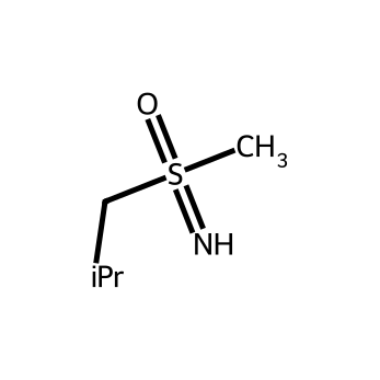 CC(C)CS(C)(=N)=O